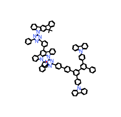 CC1(C)c2ccccc2-c2cc3c4ccccc4n(-c4nc(-c5ccccc5)nc(-c5cccc(-c6cc7c8ccccc8n(-c8ccccc8)c7c7c6c6ccccc6n7-c6nc(-c7ccccc7)nc(-c7ccc(-c8ccc(-c9cc(-c%10ccc(-n%11c%12ccccc%12c%12ccccc%12%11)cc%10)cc(-c%10cc(-c%11ccccc%11)cc(-c%11ccc(-n%12c%13ccccc%13c%13ccccc%13%12)cc%11)c%10)c9)cc8)cc7)n6)c5)n4)c3cc21